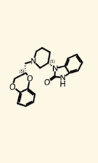 O=c1[nH]c2ccccc2n1[C@H]1CCCN(C[C@H]2COc3ccccc3O2)C1